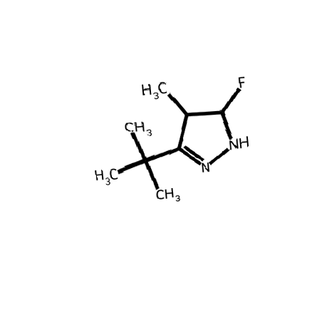 CC1C(C(C)(C)C)=NNC1F